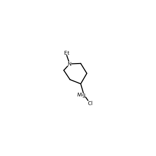 CCN1CC[CH]([Mg][Cl])CC1